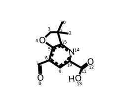 CC1(C)COc2c(C=O)cc(C(=O)O)nc21